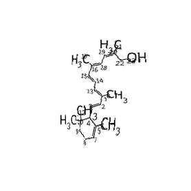 CC(C=CC1C(C)=CCCC1(C)C)=CC=CC(C)=CC=C(C)CO